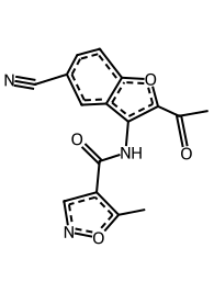 CC(=O)c1oc2ccc(C#N)cc2c1NC(=O)c1cnoc1C